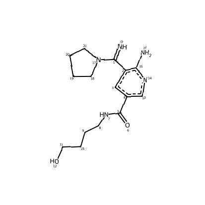 N=C(c1cc(C(=O)NCCCCO)cnc1N)N1CCCC1